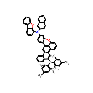 Cc1cc(C)c(B(c2c(C)cc(C)cc2C)c2cc3c4cccc5c4c(cc3c3ccccc23)-c2ccc(N(c3ccc4ccccc4c3)c3cccc4c3oc3ccccc34)cc2O5)c(C)c1